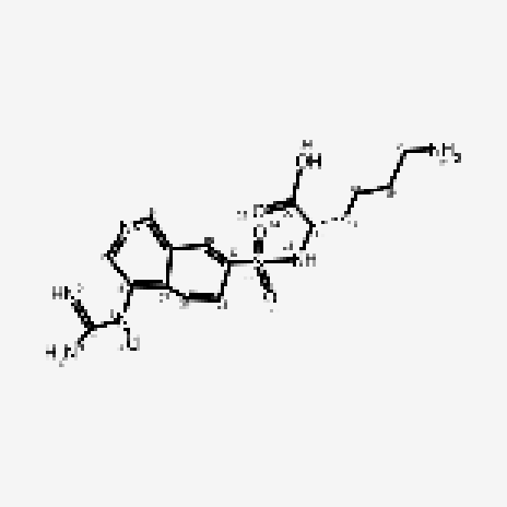 N=C(N)N(Cl)c1cncc2cc(S(=O)(=O)N[C@@H](CCCCN)C(=O)O)ccc12